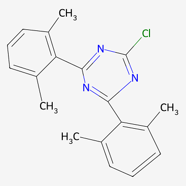 Cc1cccc(C)c1-c1nc(Cl)nc(-c2c(C)cccc2C)n1